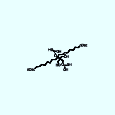 CCCCCCCCCCCCCCCCCCC(CCCCCCCCCCCCCCCCCC)(OP(O)O)C(CO)(CO)COP(O)O